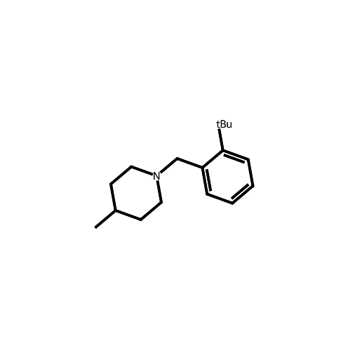 CC1CCN(Cc2ccccc2C(C)(C)C)CC1